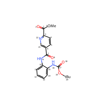 COC(=O)c1ccc(C(=O)Nc2ccccc2NC(=O)OC(C)(C)C)cn1